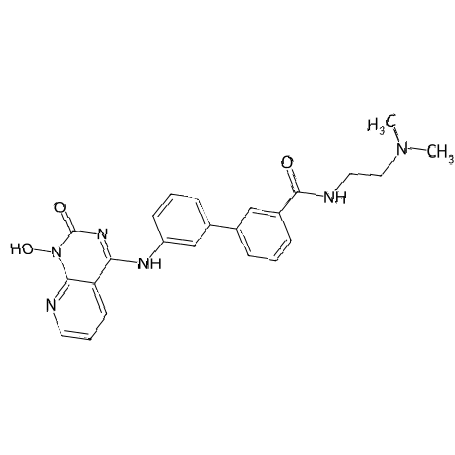 CN(C)CCNC(=O)c1cccc(-c2cccc(Nc3nc(=O)n(O)c4ncccc34)c2)c1